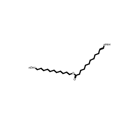 CCCCCCC=CCCCCCCCCCC(=O)OCCCCCCCCCCCCCCCCCCCCC